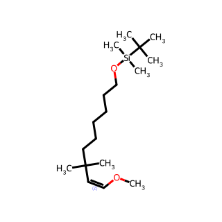 CO/C=C\C(C)(C)CCCCCCO[Si](C)(C)C(C)(C)C